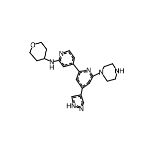 c1cc(-c2cc(-c3cn[nH]c3)cc(N3CCNCC3)n2)cc(NC2CCOCC2)n1